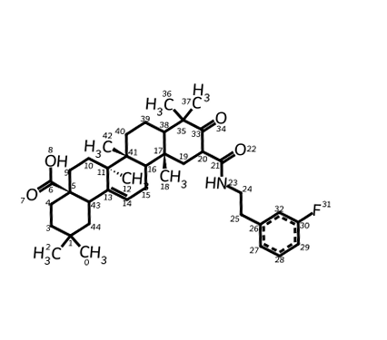 CC1(C)CC[C@]2(C(=O)O)CC[C@]3(C)C(=CCC4[C@@]5(C)CC(C(=O)NCCc6cccc(F)c6)C(=O)C(C)(C)C5CC[C@]43C)C2C1